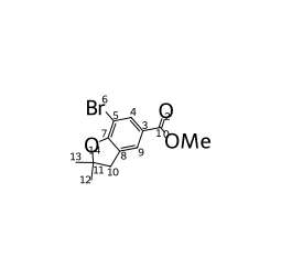 COC(=O)c1cc(Br)c2c(c1)CC(C)(C)O2